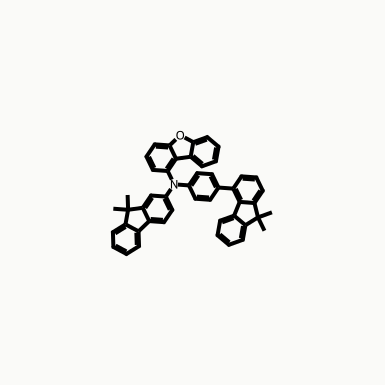 CC1(C)c2ccccc2-c2ccc(N(c3ccc(-c4cccc5c4-c4ccccc4C5(C)C)cc3)c3cccc4oc5ccccc5c34)cc21